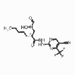 CCCCC[C@H](CN(O)C=O)C(=O)NNc1ncc(C#N)c(C(F)(F)F)n1